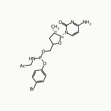 CC(=O)CNP(OCC1C[C@H](C)[C@H](n2ccc(N)nc2=O)O1)Oc1ccc(Br)cc1